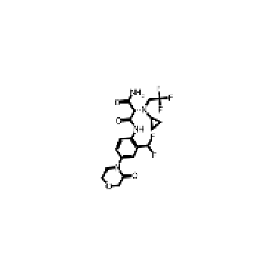 NC(=O)[C@@H](C(=O)Nc1ccc(N2CCOCC2=O)cc1C(F)F)N(CC(F)(F)F)C1CC1